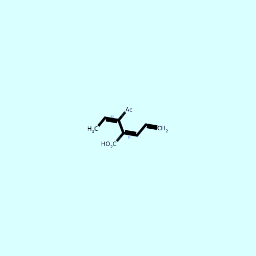 C=C/C=C(C(=O)O)\C(=C/C)C(C)=O